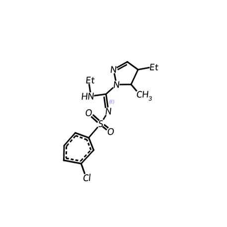 CCN/C(=N\S(=O)(=O)c1cccc(Cl)c1)N1N=CC(CC)C1C